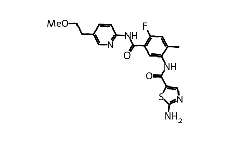 COCCc1ccc(NC(=O)c2cc(NC(=O)c3cnc(N)s3)c(C)cc2F)nc1